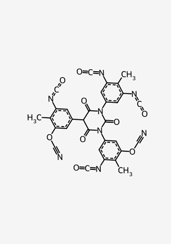 Cc1c(N=C=O)cc(N2C(=O)C(c3cc(N=C=O)c(C)c(OC#N)c3)C(=O)N(c3cc(N=C=O)c(C)c(OC#N)c3)C2=O)cc1N=C=O